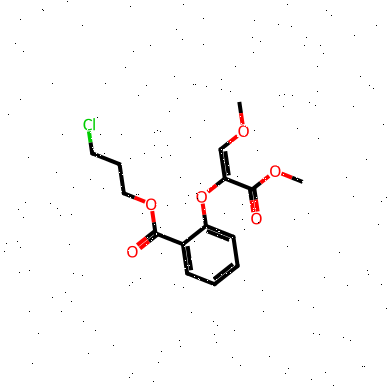 COC=C(Oc1ccccc1C(=O)OCCCCl)C(=O)OC